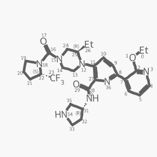 CCOc1ncccc1-c1ccc(N2CCN(C(=O)N3CCC[C@H]3C(F)(F)F)C[C@H]2CC)c(C(=O)N[C@@H]2CCNC2)n1